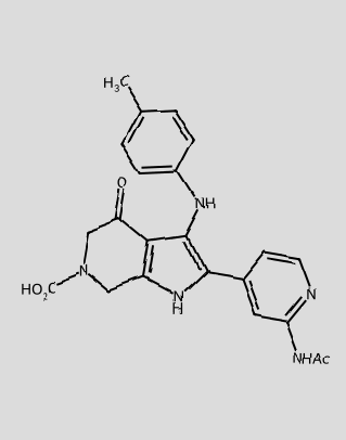 CC(=O)Nc1cc(-c2[nH]c3c(c2Nc2ccc(C)cc2)C(=O)CN(C(=O)O)C3)ccn1